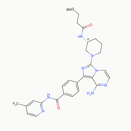 COCCC(=O)N[C@@H]1CCCN(c2nc(-c3ccc(C(=O)Nc4cc(C(F)(F)F)ccn4)cc3)c3c(N)nccn23)C1